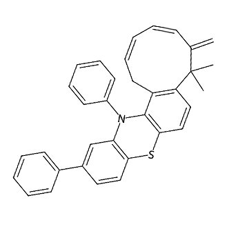 C=C1/C=C\C=C/Cc2c(ccc3c2N(c2ccccc2)c2cc(-c4ccccc4)ccc2S3)C1(C)C